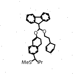 CSC(c1ccc2c(c1)CCC(OC(OCCC1C=CC=CC1)C1c3ccccc3-c3ccccc31)=C2)C(C)C